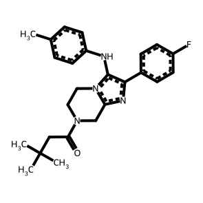 Cc1ccc(Nc2c(-c3ccc(F)cc3)nc3n2CCN(C(=O)CC(C)(C)C)C3)cc1